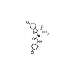 NC(=O)c1c(NC(=O)Nc2ccc(Cl)cc2)sc2c1CCC(=O)C2